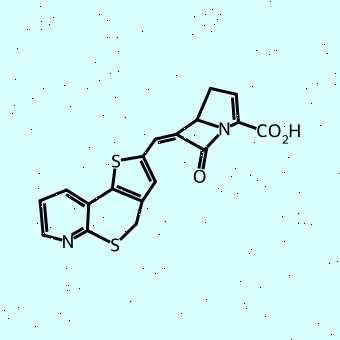 O=C(O)C1=CCC2C(=Cc3cc4c(s3)-c3cccnc3SC4)C(=O)N12